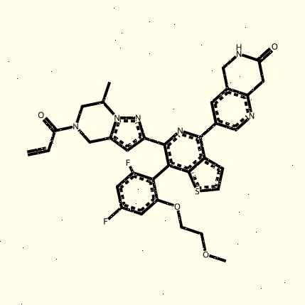 C=CC(=O)N1Cc2cc(-c3nc(-c4cnc5c(c4)CNC(=O)C5)c4ccsc4c3-c3c(F)cc(F)cc3OCCOC)nn2C(C)C1